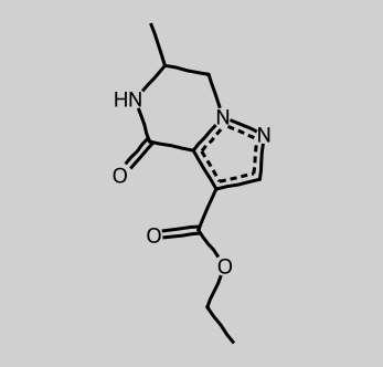 CCOC(=O)c1cnn2c1C(=O)NC(C)C2